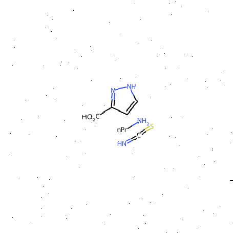 CCCN.N=C=S.O=C(O)c1cc[nH]n1